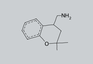 CC1(C)CC(CN)c2ccccc2O1